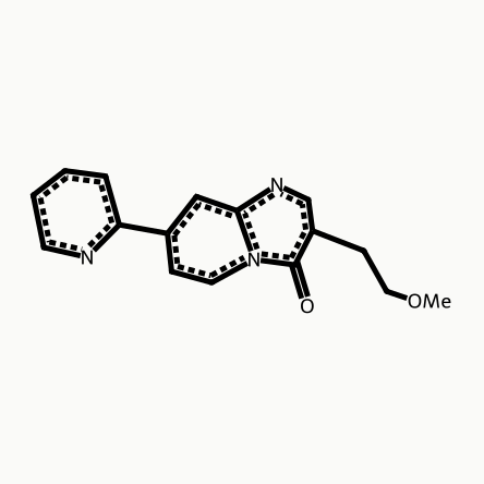 COCCc1cnc2cc(-c3ccccn3)ccn2c1=O